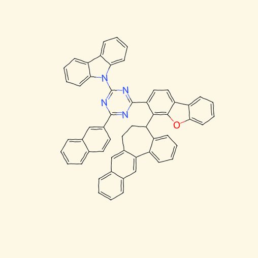 c1ccc2c(c1)-c1cc3ccccc3cc1CCC2c1c(-c2nc(-c3ccc4ccccc4c3)nc(-n3c4ccccc4c4ccccc43)n2)ccc2c1oc1ccccc12